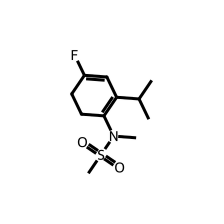 CC(C)C1=C(N(C)S(C)(=O)=O)CCC(F)=C1